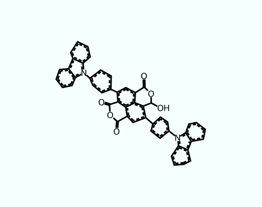 O=C1OC(=O)c2c(-c3ccc(-n4c5ccccc5c5ccccc54)cc3)cc3c4c(c(-c5ccc(-n6c7ccccc7c7ccccc76)cc5)cc1c24)C(O)OC3=O